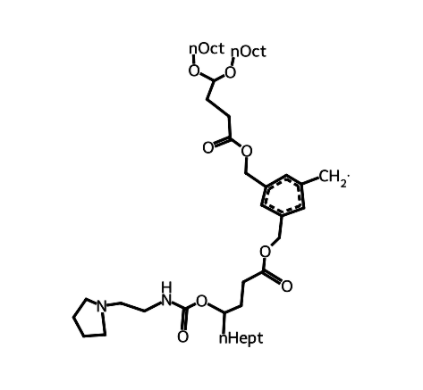 [CH2]c1cc(COC(=O)CCC(CCCCCCC)OC(=O)NCCN2CCCC2)cc(COC(=O)CCC(OCCCCCCCC)OCCCCCCCC)c1